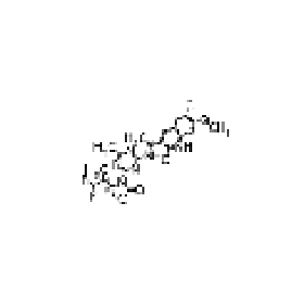 COc1cc2[nH]c(=O)c([C@H](C)Nc3nc(C)nc(N4C(=O)OC[C@H]4[C@H](C)C(F)F)n3)cc2cc1Cl